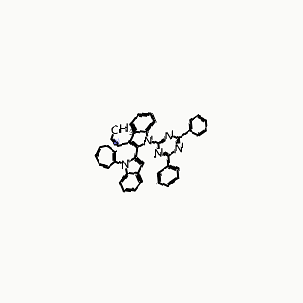 C/C=C\c1c(-c2cc3ccccc3n2C2=CCC=CC=C2)n(-c2nc(-c3ccccc3)nc(-c3ccccc3)n2)c2ccccc12